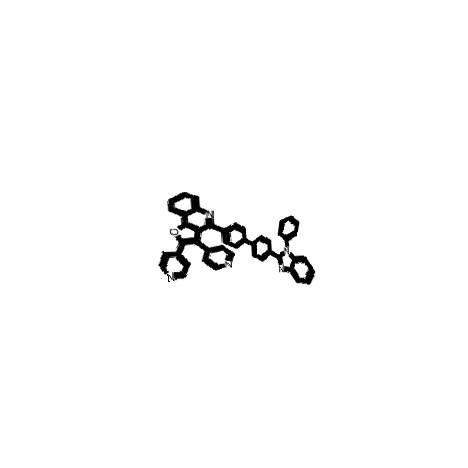 c1ccc(-n2c(-c3ccc(-c4ccc(-c5nc6ccccc6c6oc(-c7ccncc7)c(-c7ccncc7)c56)cc4)cc3)nc3ccccc32)cc1